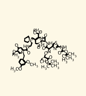 CC[C@H](O/N=C(\C(=O)N[C@@H]1C(=O)N2C(C(=O)OP)=C(C[N+]3(CCNC(=O)c4cc(=O)c(OP)cn4Cc4ccc(OC)cc4OC)CCCC3)C[S+]([O-])[C@H]12)c1csc(NC(=O)OC(C)(C)C)n1)C(=O)OC(C)(C)C